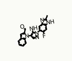 Cc1nc2cc(-n3ncc(-n4c(C=O)cc5ccccc54)c3N)c(F)cc2[nH]1